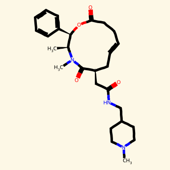 C[C@H]1[C@@H](c2ccccc2)OC(=O)CC/C=C/C[C@@H](CC(=O)NCC2CCN(C)CC2)C(=O)N1C